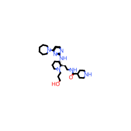 O=C(NCC[C@@H]1[C@@H](Nc2nccc(N3CCCCCC3)n2)CCCN1CCCO)C1CCNCC1